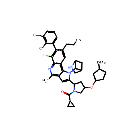 COC1CCC(OC2CC(c3cc4c(C)nc5c(F)c(-c6cccc(Cl)c6Cl)c(CCC#N)cc5c4n3C3C4CNC3C4)N(C(=O)C3CC3)C2)C1